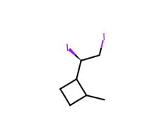 CC1CCC1[C@@H](I)CI